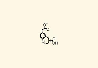 COC(=O)Cc1ccc2c(c1)CN(C(=O)O)CCO2